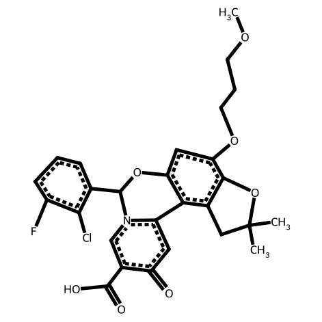 COCCCOc1cc2c(c3c1OC(C)(C)C3)-c1cc(=O)c(C(=O)O)cn1C(c1cccc(F)c1Cl)O2